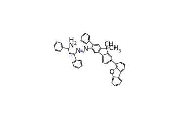 CC1(C)c2cc(-c3cccc4c3oc3ccccc34)ccc2-c2cc3c(cc21)c1ccccc1n3/C=N/C(=C\C(N)c1ccccc1)c1ccccc1